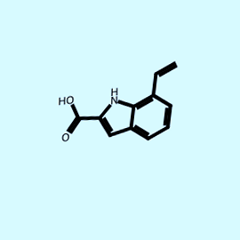 C=Cc1cccc2cc(C(=O)O)[nH]c12